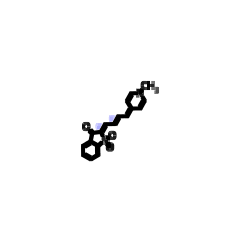 CN1C=CC(=C/C=C/C=C2/C(=O)c3ccccc3S2(=O)=O)C=C1